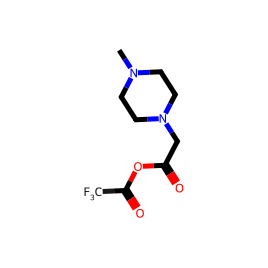 CN1CCN(CC(=O)OC(=O)C(F)(F)F)CC1